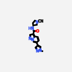 Cn1cc(-c2ccc3c(C(=O)N[C@@H]4CCN(C#N)C4)cnn3c2)cn1